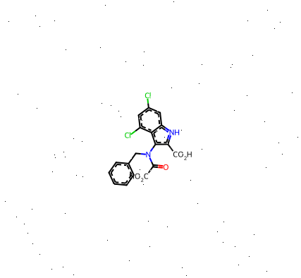 O=C(O)C(=O)N(Cc1ccccc1)c1c(C(=O)O)[nH]c2cc(Cl)cc(Cl)c12